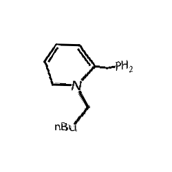 CCCCCN1CC=CC=C1P